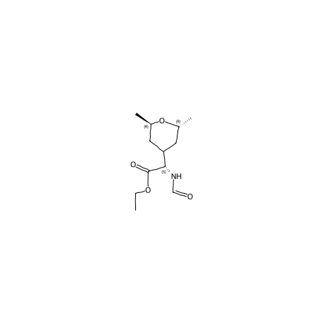 CCOC(=O)[C@@H](NC=O)C1C[C@@H](C)O[C@H](C)C1